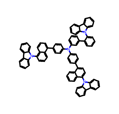 c1cc(-c2ccccc2-n2c3ccccc3c3ccccc32)cc(N(c2ccc(-c3cccc4c(-n5c6ccccc6c6ccccc65)cccc34)cc2)c2ccc(-c3ccc(-n4c5ccccc5c5ccccc54)c4ccccc34)cc2)c1